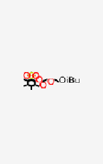 Cc1c(C)c(C)c(S(C)(=O)=O)c(OC(=O)COCCOCC(C)C)c1C